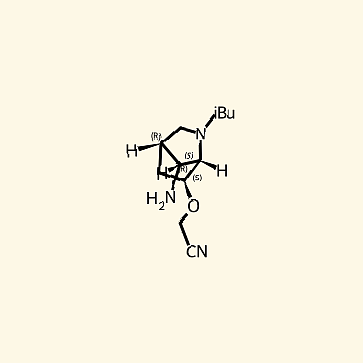 CCC(C)N1C[C@H]2C[C@H](OCC#N)[C@@H]1[C@@H]2N